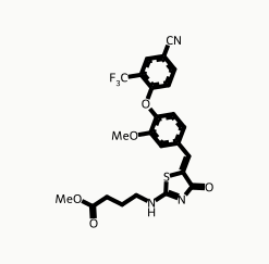 COC(=O)CCCNC1=NC(=O)C(=Cc2ccc(Oc3ccc(C#N)cc3C(F)(F)F)c(OC)c2)S1